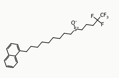 [O-][S+](CCCCCCCCCc1cccc2ccccc12)CCCC(F)(F)C(F)(F)F